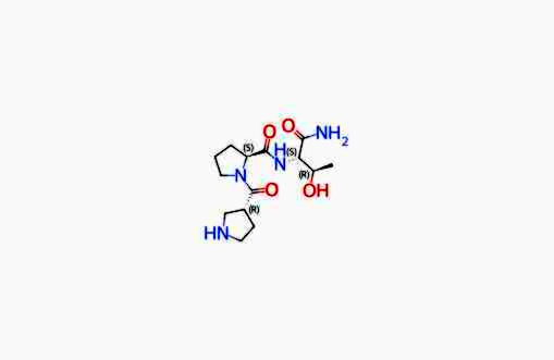 C[C@@H](O)[C@H](NC(=O)[C@@H]1CCCN1C(=O)[C@@H]1CCNC1)C(N)=O